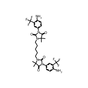 CC1(C)C(=O)N(c2ccc(N)c(C(F)(F)F)c2)C(=O)N1CCCCCN1C(=O)N(c2ccc(N)c(C(F)(F)F)c2)C(=O)C1(C)C